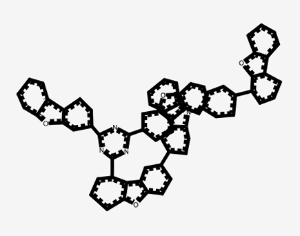 c1ccc2c(c1)oc1cc(-c3nc(-c4ccc5c(c4)oc4ccccc45)nc(-c4cccc5oc6ccc(-c7ccc8c(c7)c7ccccc7n8-c7ccc(-c8cccc9c8oc8ccccc89)cc7)cc6c45)n3)ccc12